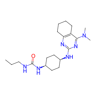 CCCNC(=O)N[C@H]1CC[C@@H](Nc2nc3c(c(N(C)C)n2)CCCC3)CC1